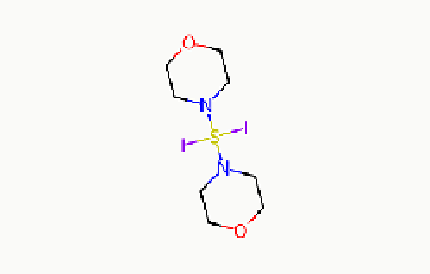 IS(I)(N1CCOCC1)N1CCOCC1